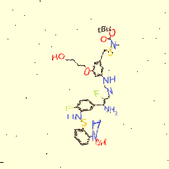 CN(SCc1cc(NC/N=C\C(F)=C(/N)c2ccc(F)c(NSc3ccccc3NO)c2)cc(OCCCCO)c1)C(=O)OC(C)(C)C